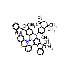 Cc1cc2c(cc1N1c3cc(C)c(C(C)(C)c4ccccc4O)cc3B3c4c1cc1c(c4-c4cccc5c4N3c3ccccc3S5)-c3ccccc3C1(C)C)C(C)(C)CCC2(C)C